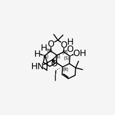 CC1(C)O[C@@H]2[C@H]3CCC4[C@]5(CI)C=CCC(C)(C)C5[C@H](O)[C@](O)(O1)[C@]42C(=O)C31CN1